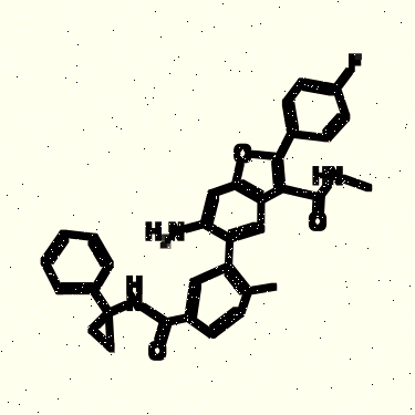 CNC(=O)c1c(-c2ccc(F)cc2)oc2cc(N)c(-c3cc(C(=O)NC4(c5ccccc5)CC4)ccc3C)cc12